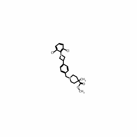 COC(=O)C1(C)CCN(Cc2ccc(C3CN(c4c(Cl)cccc4Cl)C3)cc2)CC1